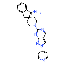 N[C@@H]1c2ccccc2CC12CCN(c1ncc3cn(-c4ccncc4)nc3n1)CC2